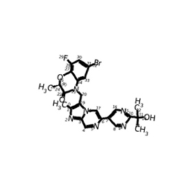 Cc1nc2cnc(-c3cnc(C(C)(C)O)nc3)cn2c1CN1C(=O)[C@@H](C)Oc2c(F)cc(Br)cc21